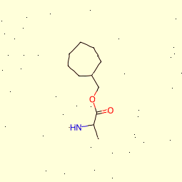 CC([NH])C(=O)OCC1CCCCCC1